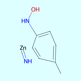 Cc1ccc(NO)cc1.[NH]=[Zn]